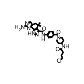 CC1(C)Cc2cnc(N)nc2-c2[nH]nc(C(=O)Nc3ccc(C(=O)N4CCC(NC(=O)CCCCl)CC4)cc3)c21